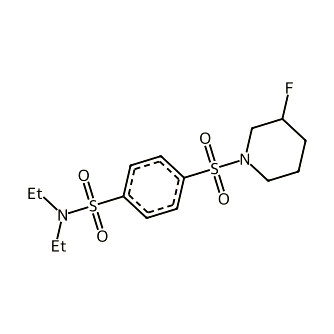 CCN(CC)S(=O)(=O)c1ccc(S(=O)(=O)N2CCCC(F)C2)cc1